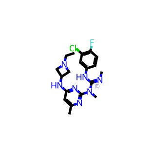 CCN1CC(Nc2cc(C)nc(N(C)/C(=N/C)Nc3ccc(F)c(Cl)c3)n2)C1